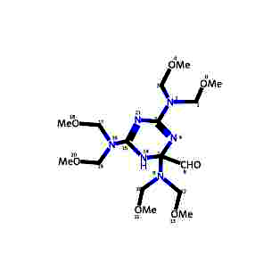 COCN(COC)C1=NC(C=O)(N(COC)COC)NC(N(COC)COC)=N1